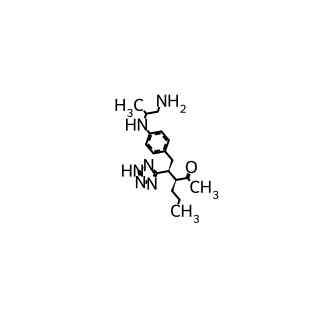 CCC[C@H](C(C)=O)[C@H](Cc1ccc(NC(C)CN)cc1)c1nn[nH]n1